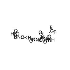 O=C1CCC(Nc2ccc(C3CCN(CC(=O)N4CCN(c5ccc(C(=O)Nc6n[nH]c7ccc(Cc8cc(F)cc(F)c8)cc67)c(NC6CCOCC6)c5)CC4)CC3)cc2)C(=O)N1